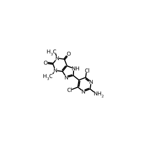 Cn1c(=O)c2[nH]c(-c3c(Cl)nc(N)nc3Cl)nc2n(C)c1=O